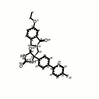 CCOc1ccc2c(c1)C(=O)N(C[C@@]1(c3ccc(-c4ccc(F)cn4)cc3)NC(=O)NC1=O)C2